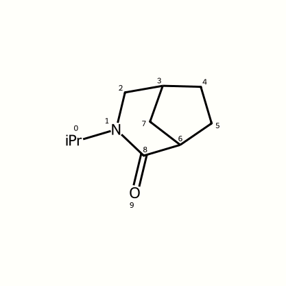 CC(C)N1CC2CCC(C2)C1=O